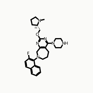 CN1CCC[C@H]1COc1nc2c(c(N3CCNCC3)n1)CCCN(c1c(F)ccc3ccccc13)C2